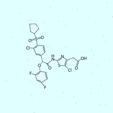 O=C(O)Cc1nc(NC(=O)C(Oc2ccc(F)cc2F)c2ccc(S(=O)(=O)C3CCCC3)c(Cl)c2)sc1Cl